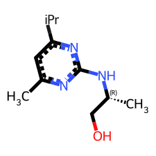 Cc1cc(C(C)C)nc(N[C@H](C)CO)n1